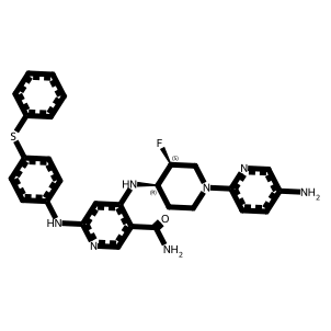 NC(=O)c1cnc(Nc2ccc(Sc3ccccc3)cc2)cc1N[C@@H]1CCN(c2ccc(N)cn2)C[C@@H]1F